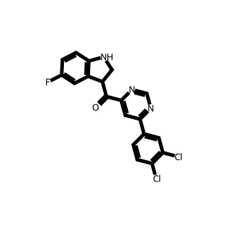 O=C(c1cc(-c2ccc(Cl)c(Cl)c2)ncn1)C1CNc2ccc(F)cc21